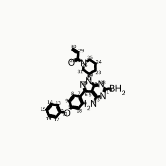 Bc1nc(N)c2c(-c3ccc(Oc4ccccc4)cc3)nn([C@@H]3CCCN(C(=O)C=C)C3)c2n1